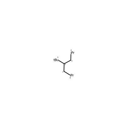 CC(C)C[C](CC(C)C)C(C)(C)C